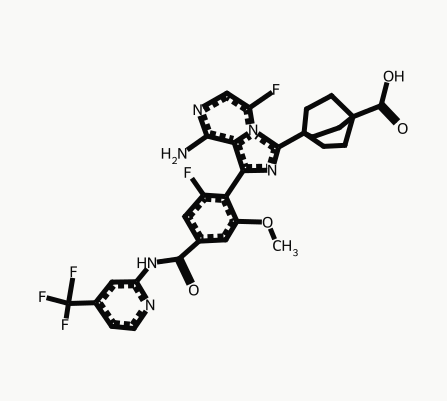 COc1cc(C(=O)Nc2cc(C(F)(F)F)ccn2)cc(F)c1-c1nc(C23CCC(C(=O)O)(CC2)CC3)n2c(F)cnc(N)c12